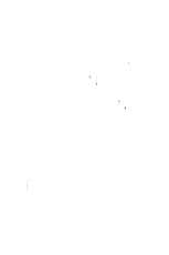 CC(=O)c1ncc(-c2ccc(F)c(C)c2)cn1